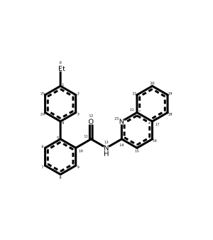 CCc1ccc(-c2ccccc2C(=O)Nc2ccc3ccccc3n2)cc1